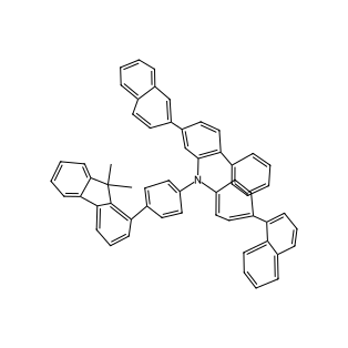 CC1(C)c2ccccc2-c2cccc(-c3ccc(N(c4ccc(-c5cccc6ccccc56)cc4)c4cc(-c5ccc6ccccc6c5)ccc4-c4ccccc4)cc3)c21